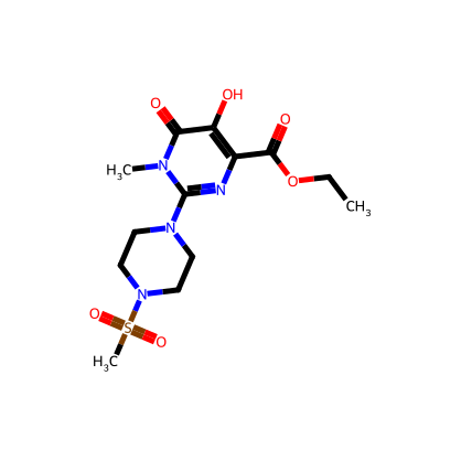 CCOC(=O)c1nc(N2CCN(S(C)(=O)=O)CC2)n(C)c(=O)c1O